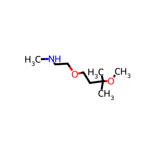 CNCCOCCC(C)(C)OC